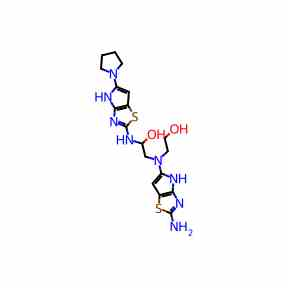 Nc1nc2[nH]c(N(CCO)CC(O)Nc3nc4[nH]c(N5CCCC5)cc4s3)cc2s1